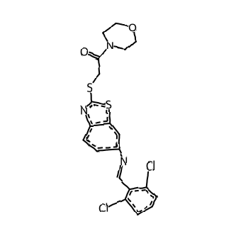 O=C(CSc1nc2ccc(/N=C/c3c(Cl)cccc3Cl)cc2s1)N1CCOCC1